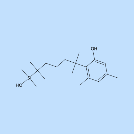 Cc1cc(C)c(C(C)(C)CCCC(C)(C)[Si](C)(C)O)c(O)c1